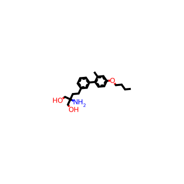 CCCCOc1ccc(-c2cccc(CCC(N)(CO)CO)c2)c(C)c1